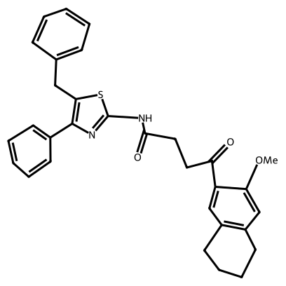 COc1cc2c(cc1C(=O)CCC(=O)Nc1nc(-c3ccccc3)c(Cc3ccccc3)s1)CCCC2